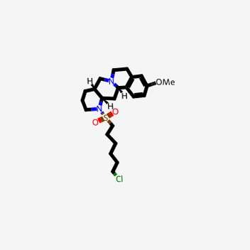 COc1ccc2c(c1)CCN1C[C@H]3CCCN(S(=O)(=O)CCCCCCCl)[C@H]3C[C@@H]21